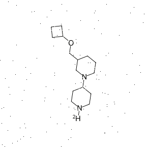 [2H]N1CCC(N2CCCC(COC3CCC3)C2)CC1